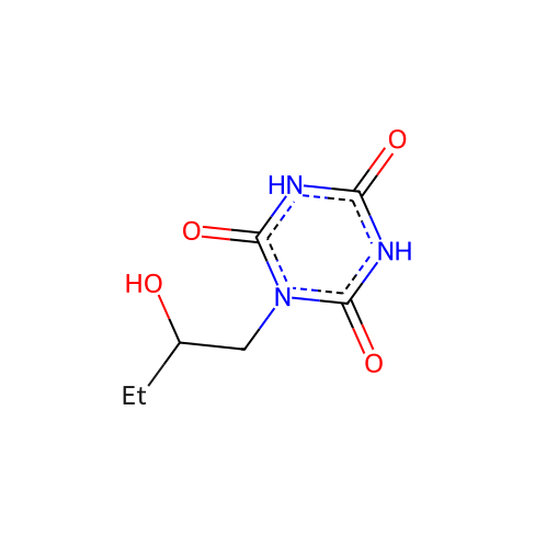 CCC(O)Cn1c(=O)[nH]c(=O)[nH]c1=O